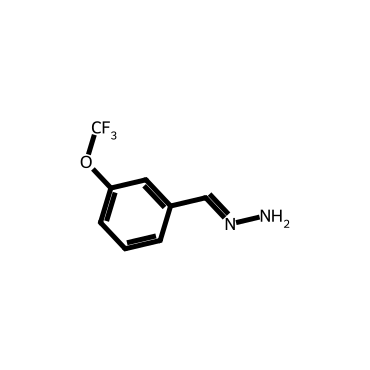 NN=Cc1cccc(OC(F)(F)F)c1